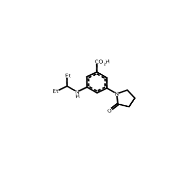 CCC(CC)Nc1cc(C(=O)O)cc(N2CCCC2=O)c1